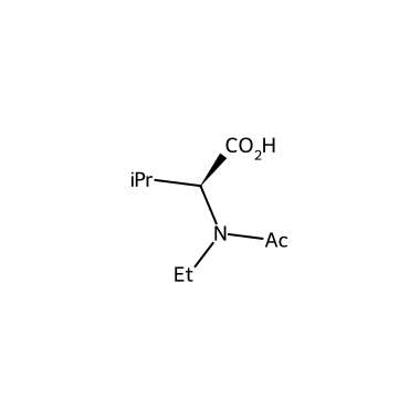 CCN(C(C)=O)[C@H](C(=O)O)C(C)C